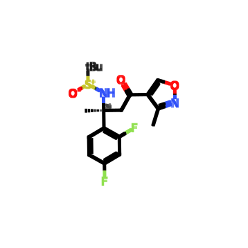 Cc1nocc1C(=O)C[C@](C)(N[S+]([O-])C(C)(C)C)c1ccc(F)cc1F